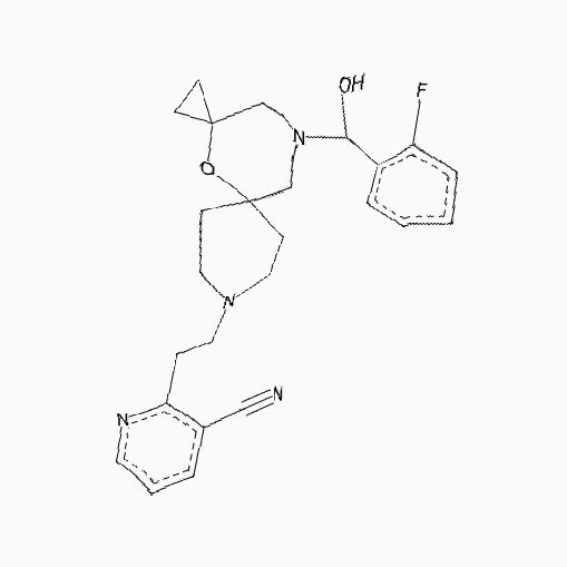 N#Cc1cccnc1CCN1CCC2(CC1)CN(C(O)c1ccccc1F)CC1(CC1)O2